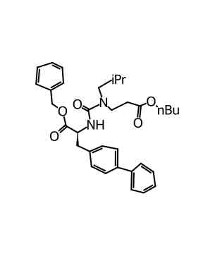 CCCCOC(=O)CCN(CC(C)C)C(=O)N[C@@H](Cc1ccc(-c2ccccc2)cc1)C(=O)OCc1ccccc1